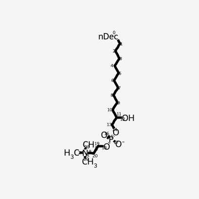 CCCCCCCCCCCCCCCCCCCCC(O)COP(=O)([O-])OCC[N+](C)(C)C